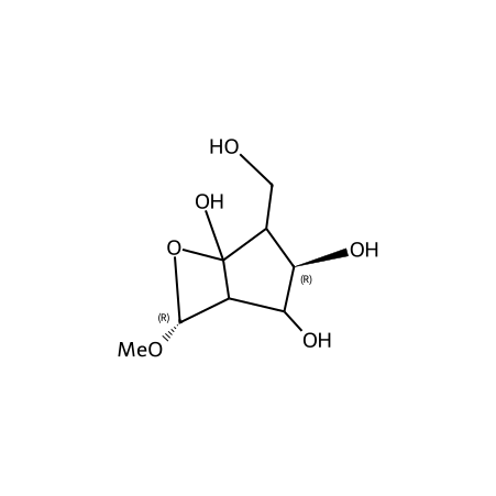 CO[C@@H]1OC2(O)C1C(O)[C@H](O)C2CO